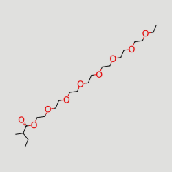 CCOCCOCCOCCOCCOCCOCCOCCOC(=O)C(C)CC